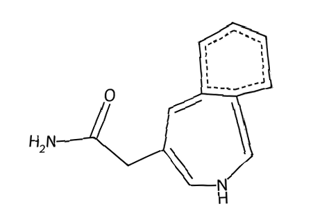 NC(=O)CC1=CNC=c2ccccc2=C1